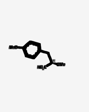 COc1ccc(C[C@H](OC)C(=O)O)cc1